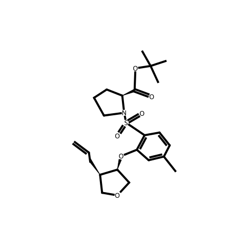 C=CC[C@@H]1COC[C@@H]1Oc1cc(C)ccc1S(=O)(=O)N1CCC[C@H]1C(=O)OC(C)(C)C